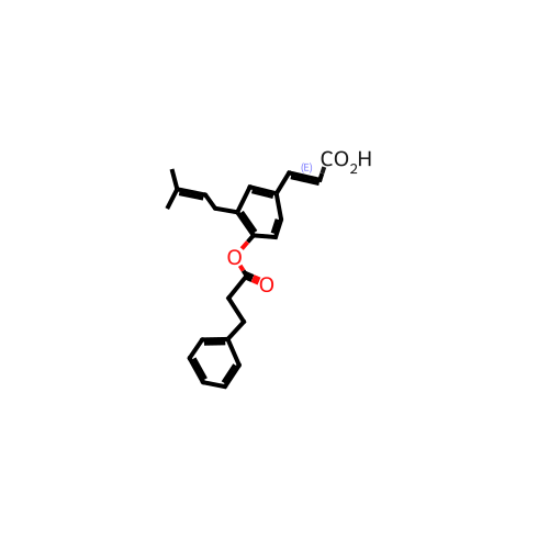 CC(C)=CCc1cc(/C=C/C(=O)O)ccc1OC(=O)CCc1ccccc1